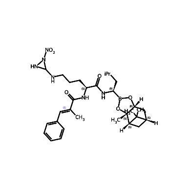 C/C(=C\c1ccccc1)C(=O)N[C@@H](CCCNC1NN1[N+](=O)[O-])C(=O)N[C@@H](CC(C)C)B1O[C@@H]2C[C@@H]3C[C@@H](C3(C)C)[C@]2(C)O1